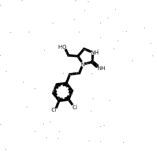 N=C1NCC(CO)N1CCc1ccc(Cl)c(Cl)c1